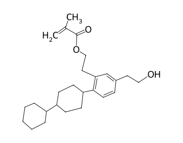 C=C(C)C(=O)OCCc1cc(CCO)ccc1C1CCC(C2CCCCC2)CC1